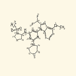 COc1cccc2c1nc(C(F)F)n2-c1nc(NC2CCCN2S(C)(=O)=O)nc(N2CCOCC2)n1